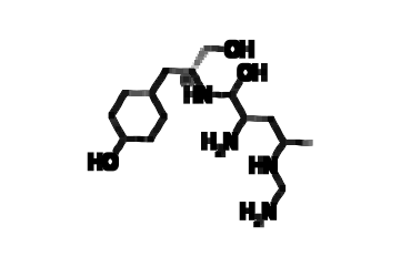 CC(CC(N)C(O)N[C@@H](CO)CC1CCC(O)CC1)NCN